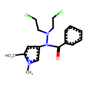 Cn1cc(N(C(=O)c2ccccc2)N(CCCl)CCCl)cc1C(=O)O